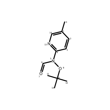 Cc1ccc(N(C=O)OC(C)(C)C)nc1